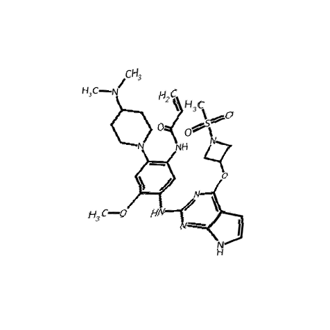 C=CC(=O)Nc1cc(Nc2nc(OC3CN(S(C)(=O)=O)C3)c3cc[nH]c3n2)c(OC)cc1N1CCC(N(C)C)CC1